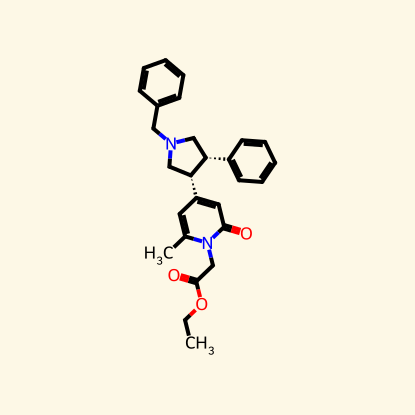 CCOC(=O)Cn1c(C)cc([C@@H]2CN(Cc3ccccc3)C[C@@H]2c2ccccc2)cc1=O